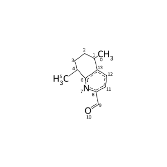 CC1CCC(C)c2nc(C=O)ccc21